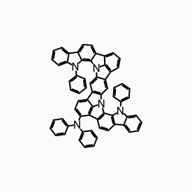 c1ccc(N(c2ccccc2)c2ccc3c4cc5c(cc4n4c3c2c2ccc3c6ccccc6n(-c6ccccc6)c3c24)c2cccc3c4ccc6c7ccccc7n(-c7ccccc7)c6c4n5c23)cc1